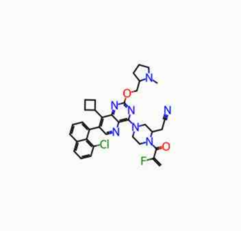 C=C(F)C(=O)N1CCN(c2nc(OCC3CCCN3C)nc3c(C4CCC4)c(-c4cccc5cccc(Cl)c45)cnc23)CC1CC#N